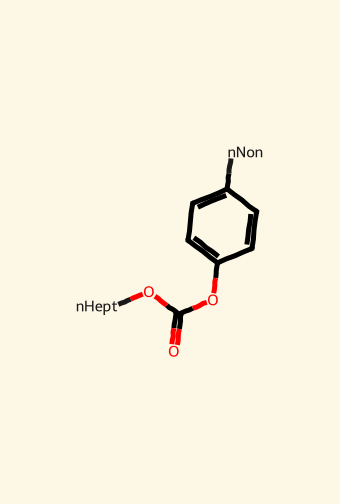 CCCCCCCCCc1ccc(OC(=O)OCCCCCCC)cc1